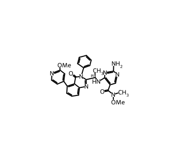 COc1cc(-c2cccc3nc([C@@H](C)Nc4nc(N)ncc4C(=O)N(C)OC)n(-c4ccccc4)c(=O)c23)ccn1